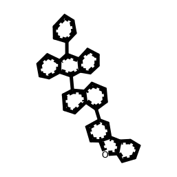 c1ccc(-c2c3ccccc3c(-c3cccc4c(-c5ccc6oc7ccccc7c6c5)cccc34)c3ccccc23)cc1